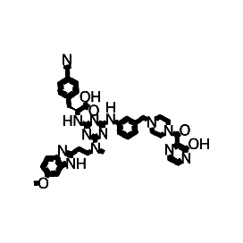 COc1ccc2nc(CCN(C)c3nc(Nc4cccc(CN5CCN(C(=O)c6nccnc6O)CC5)c4)nc(N[C@@H](Cc4ccc(C#N)cc4)C(=O)O)n3)[nH]c2c1